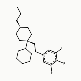 CCC[C@H]1CC[C@](CCc2cc(F)c(F)c(F)c2)(C2CCCCC2)CC1